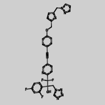 OC(Cn1cnnn1)(c1ccc(F)cc1F)C(F)(F)c1ccc(C#Cc2ccc(OCc3ccc(Cn4cccn4)s3)cc2)cn1